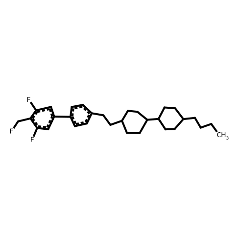 CCCCC1CCC(C2CCC(CCc3ccc(-c4cc(F)c(CF)c(F)c4)cc3)CC2)CC1